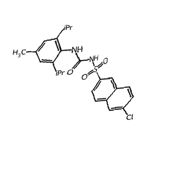 Cc1cc(C(C)C)c(NC(=O)NS(=O)(=O)c2ccc3cc(Cl)ccc3c2)c(C(C)C)c1